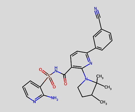 CC1CCN(c2nc(-c3cccc(C#N)c3)ccc2C(=O)NS(=O)(=O)c2cccnc2N)C1(C)C